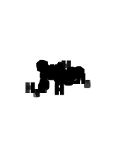 COCCCn1cc(CN(C(=O)C2CNCC(NC(=O)C(C)(C)c3ccccc3)C2)C2CC2)c2ccccc21